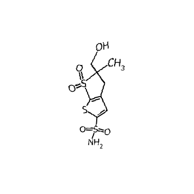 CC1(CO)Cc2cc(S(N)(=O)=O)sc2S1(=O)=O